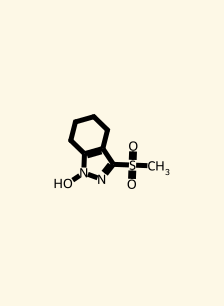 CS(=O)(=O)c1nn(O)c2c1CCCC2